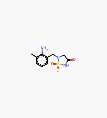 Cc1cccc(CN2CC(=O)NS2(=O)=O)c1N